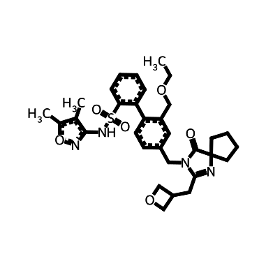 CCOCc1cc(CN2C(=O)C3(CCCC3)N=C2CC2COC2)ccc1-c1ccccc1S(=O)(=O)Nc1noc(C)c1C